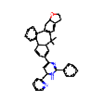 CC1(C)C2=C(CC3OCCC3=C2)c2ccccc2C2C=CC(C3=CC(c4ccccn4)NC(c4ccccc4)=N3)=CC21